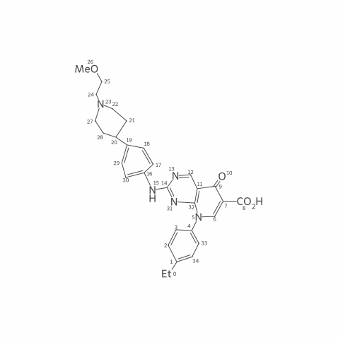 CCc1ccc(-n2cc(C(=O)O)c(=O)c3cnc(Nc4ccc(C5CCN(CCOC)CC5)cc4)nc32)cc1